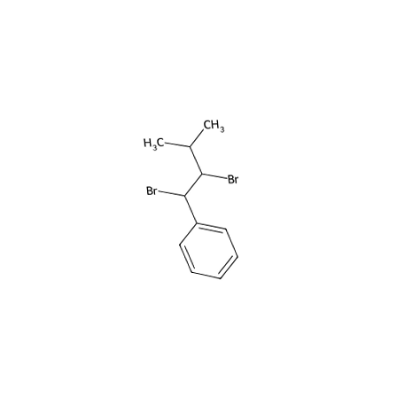 CC(C)C(Br)C(Br)c1ccccc1